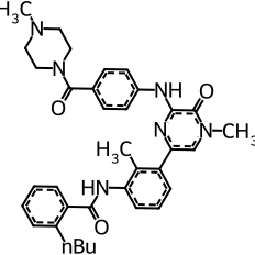 CCCCc1ccccc1C(=O)Nc1cccc(-c2cn(C)c(=O)c(Nc3ccc(C(=O)N4CCN(C)CC4)cc3)n2)c1C